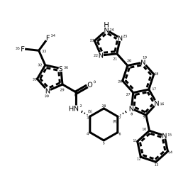 O=C(N[C@H]1CCC[C@@H](n2c(-c3ccccn3)nc3cnc(-c4nc[nH]n4)cc32)C1)c1ncc(C(F)F)s1